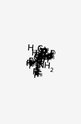 Cc1cccc2c1NC(=O)[C@@H](NC(=O)[C@H](CCC(F)(F)F)[C@H](C/C=C/CC(F)(F)F)C(N)=O)N=C2c1cccc(F)c1